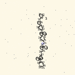 O=C(/C=C/c1ccc(OC(=O)c2ccc(OCCCC(F)(F)F)cc2)cc1)OCCCCOC(=O)c1ccccc1